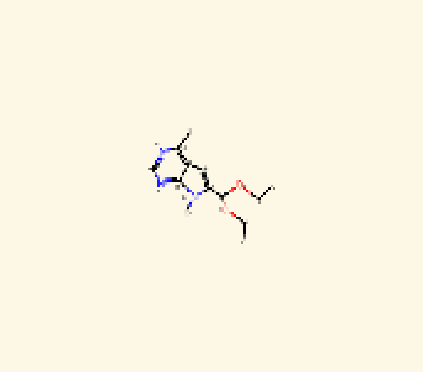 CCOC(OCC)c1cc2c(C)ncnc2n1C